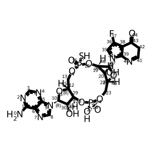 Nc1ncnc2c1ncn2[C@@H]1O[C@@H]2COP(=O)(S)O[C@@H]3[C@H](O)[C@@H](COP(=O)(O)O[C@H]2[C@H]1O)O[C@H]3n1cc(F)c2c1N=CCC2=O